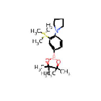 CC1(C)OB(c2ccc(N3CCCC3)c(S(C)(C)C)c2)OC1(C)C